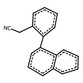 N#CCc1ccccc1-c1cccc2ccccc12